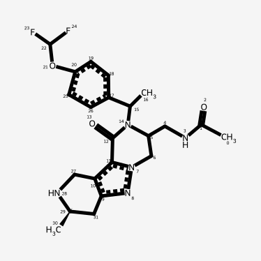 CC(=O)NCC1Cn2nc3c(c2C(=O)N1C(C)c1ccc(OC(F)F)cc1)CN[C@H](C)C3